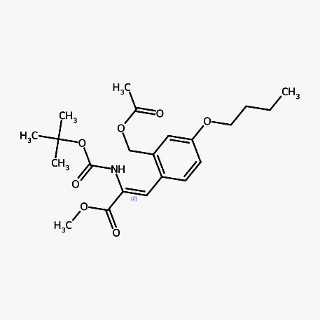 CCCCOc1ccc(/C=C(\NC(=O)OC(C)(C)C)C(=O)OC)c(COC(C)=O)c1